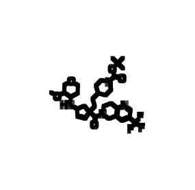 COC1COCCC1NC1C=CC(CCC2CCN(C(=O)OC(C)(C)C)CC2)(C(=O)N2CCc3ncc(C(F)(F)F)cc3C2)C1